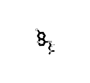 C[C@H](CN(C)C)Nc1ccnc2cc(Cl)ccc12